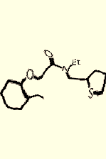 CCN(CC1CCCS1)C(=O)COC1CCCCC1C